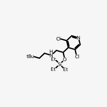 CC[Si](CC)(CC)OC(CNCCC(C)(C)C)c1c(Cl)cncc1Cl